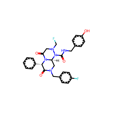 O=C1[C@H](c2ccccc2)N2C(=O)CN(CF)N(C(=O)NCc3ccc(O)cc3)[C@H]2CN1Cc1ccc(F)cc1